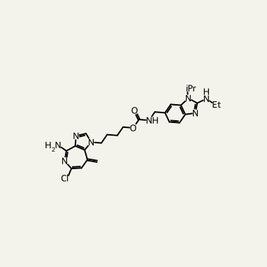 C=C1C=C(Cl)N=C(N)c2ncn(CCCCOC(=O)NCc3ccc4nc(NCC)n(C(C)C)c4c3)c21